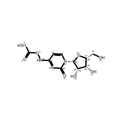 CCCCCCCCC(=O)ONc1ccn([C@@H]2O[C@H](CO)[C@H](O)[C@@H]2O)c(=O)n1